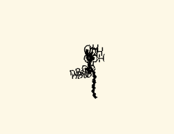 C=CCCCCCCCCCC1OC(COC2OC(CO)C(O)C2O)C(OCCCC)C1OCCCC